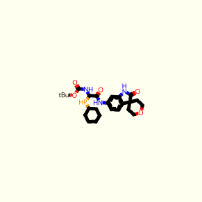 CC(C)(C)OC(=O)NC(PC1CCCCC1)C(=O)Nc1ccc2c(c1)NC(=O)C21CCOCC1